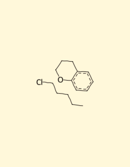 CCCCCCl.c1ccc2c(c1)CCCO2